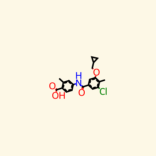 Cc1cc(NC(=O)c2cc(Cl)c(C)c(OCC3CC3)c2)ccc1C(=O)O